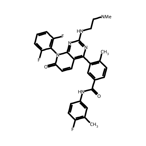 CNCCNc1nc(-c2cc(C(=O)Nc3ccc(F)c(C)c3)ccc2C)c2ccc(=O)n(-c3c(F)cccc3F)c2n1